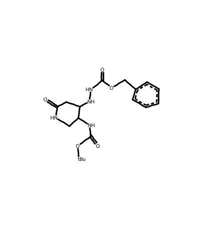 CC(C)(C)OC(=O)NC1CNC(=O)CC1NNC(=O)OCc1ccccc1